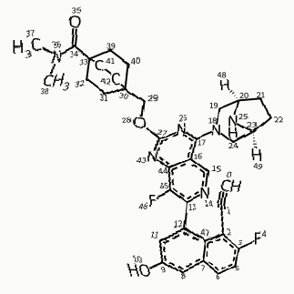 C#Cc1c(F)ccc2cc(O)cc(-c3ncc4c(N5C[C@H]6CC[C@@H](C5)N6)nc(OCC56CCC(C(=O)N(C)C)(CC5)CC6)nc4c3F)c12